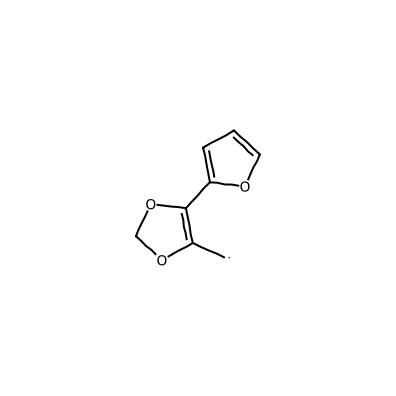 [CH2]C1=C(c2ccco2)OCO1